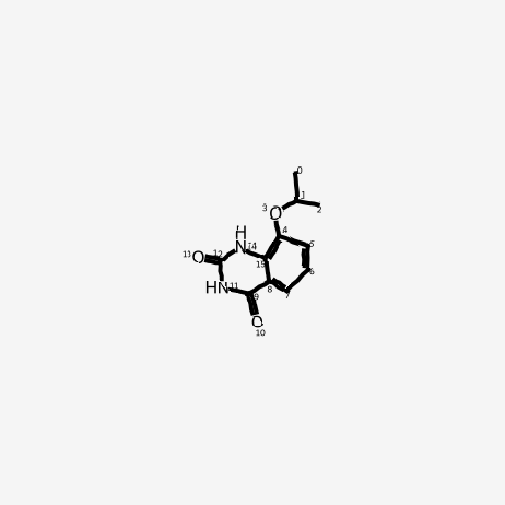 CC(C)Oc1cccc2c(=O)[nH]c(=O)[nH]c12